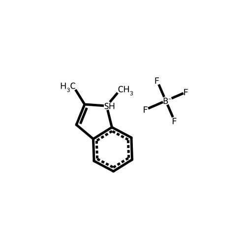 CC1=Cc2ccccc2[SH]1C.F[B-](F)(F)F